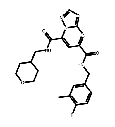 Cc1cc(CNC(=O)c2cc(C(=O)NCC3CCOCC3)n3ncnc3n2)ccc1F